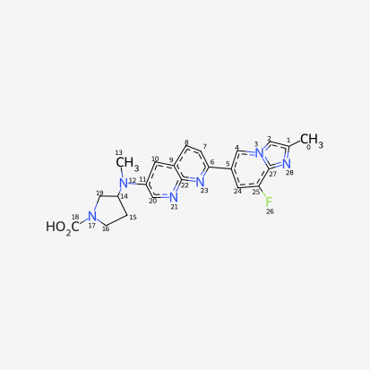 Cc1cn2cc(-c3ccc4cc(N(C)C5CCN(C(=O)O)C5)cnc4n3)cc(F)c2n1